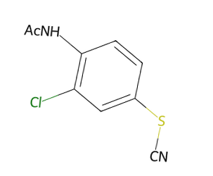 CC(=O)Nc1ccc(SC#N)cc1Cl